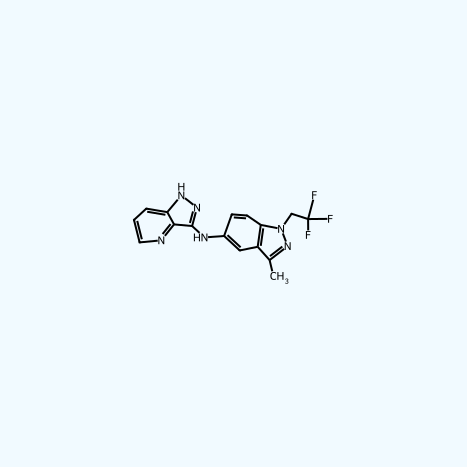 Cc1nn(CC(F)(F)F)c2ccc(Nc3n[nH]c4cccnc34)cc12